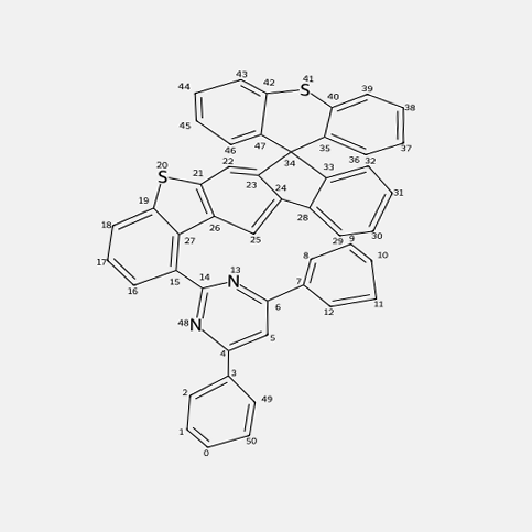 c1ccc(-c2cc(-c3ccccc3)nc(-c3cccc4sc5cc6c(cc5c34)-c3ccccc3C63c4ccccc4Sc4ccccc43)n2)cc1